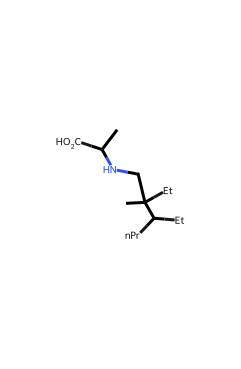 CCCC(CC)C(C)(CC)CNC(C)C(=O)O